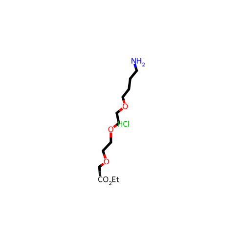 CCOC(=O)COCCOCCOCCCCN.Cl